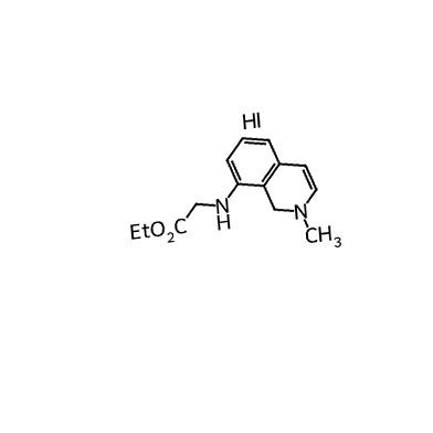 CCOC(=O)CNc1cccc2c1CN(C)C=C2.I